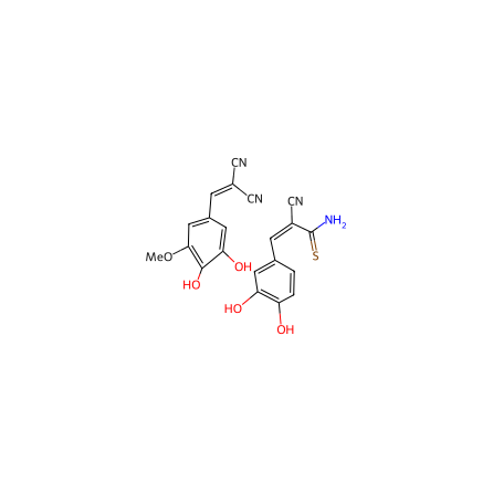 COc1cc(C=C(C#N)C#N)cc(O)c1O.N#CC(=Cc1ccc(O)c(O)c1)C(N)=S